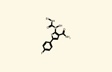 CCNC(=O)N(S)c1sc(-c2ccc(F)cc2)cc1C(N)=O